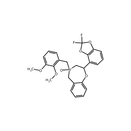 COc1cccc(C[N+]2([O-])Cc3ccccc3OC(c3cccc4c3OC(F)(F)O4)C2)c1OC